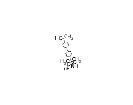 CCCNS(=O)(=O)C(C)(C)c1ccc(-c2ccc(C(C)O)cc2)cc1